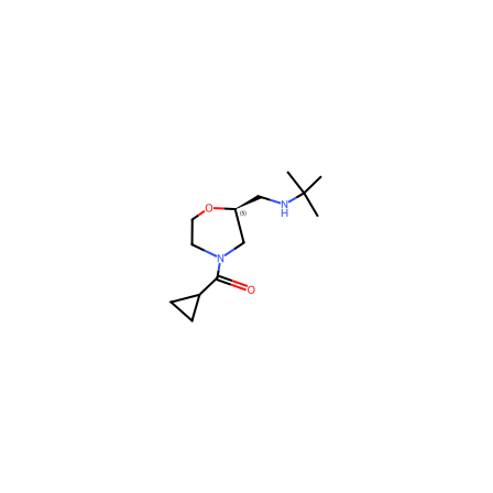 CC(C)(C)NC[C@H]1CN(C(=O)C2CC2)CCO1